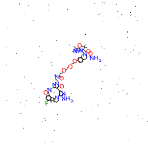 CN[C@@H](C)C(=O)N[C@H](C(=O)N1Cc2cc(OCCOCCOCCC(=O)N(C)CCn3nc4c(c3OC)-c3cnc(N)c(c3)N3CCC[C@@H]3c3cc(F)ccc3C(=O)N(C)C4)ccc2C[C@H]1C(N)=O)C(C)(C)C